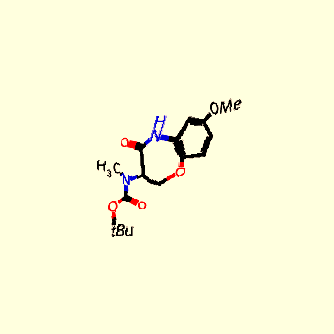 COc1ccc2c(c1)NC(=O)[C@H](N(C)C(=O)OC(C)(C)C)CO2